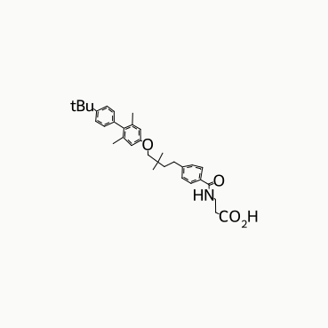 Cc1cc(OCC(C)(C)CCc2ccc(C(=O)NCCC(=O)O)cc2)cc(C)c1-c1ccc(C(C)(C)C)cc1